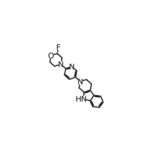 F[C@H]1CN(c2ccc(N3CCc4c([nH]c5ccccc45)C3)cn2)CCO1